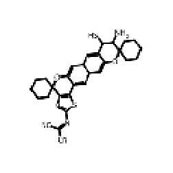 N#CC(C#N)=Nc1nc2c(s1)C1=CC3C=C4OC5(CCCCC5)C(N)C(S)C4=CC3C=C1OC21CCCCC1